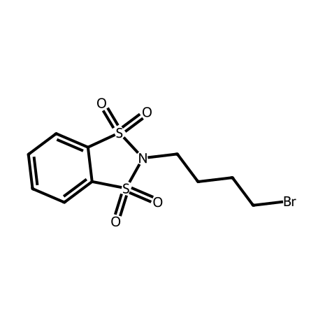 O=S1(=O)c2ccccc2S(=O)(=O)N1CCCCBr